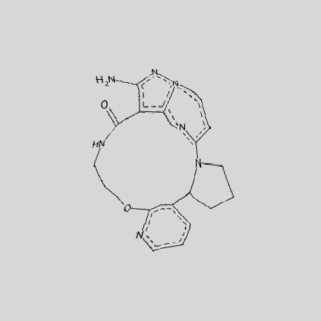 Nc1nn2ccc3nc2c1C(=O)NCCOc1ncccc1C1CCCN31